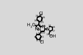 Cc1nn2c(-c3cccc(Cl)c3)cc(N3CCCC3CO)nc2c1-c1ccc(Cl)cc1